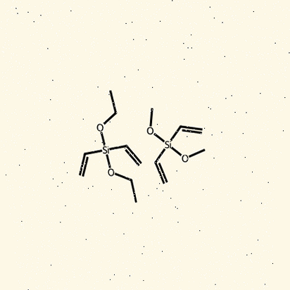 C=C[Si](C=C)(OC)OC.C=C[Si](C=C)(OCC)OCC